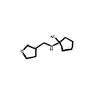 N#CC1(NCC2CCOC2)CCCC1